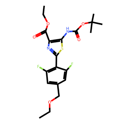 CCOCc1cc(F)c(-c2nc(C(=O)OCC)c(NC(=O)OC(C)(C)C)s2)c(F)c1